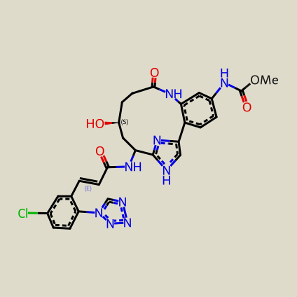 COC(=O)Nc1ccc2c(c1)NC(=O)CC[C@H](O)CC(NC(=O)/C=C/c1cc(Cl)ccc1-n1cnnn1)c1nc-2c[nH]1